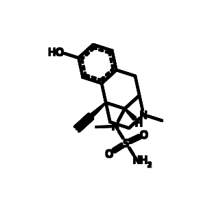 C#C[C@@]12CCN(C)C(Cc3ccc(O)cc31)[C@@H]2N(C)S(N)(=O)=O